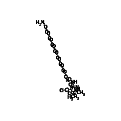 Cc1sc2c(c1C)C(c1ccc(Cl)cc1)=N[C@@H](CC(=O)Nc1ccc(OCCOOCCOOCCOOCCOOCCOOCCOOCCOOCCOCCN)nc1)c1nnc(C)n1-2